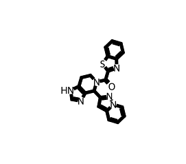 O=C(c1nc2ccccc2s1)N1CCc2[nH]cnc2C1c1cc2ccccn2n1